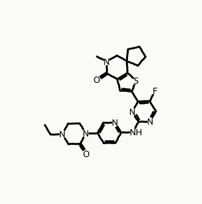 CCN1CCN(c2ccc(Nc3ncc(F)c(-c4cc5c(s4)C4(CCCC4)CN(C)C5=O)n3)nc2)C(=O)C1